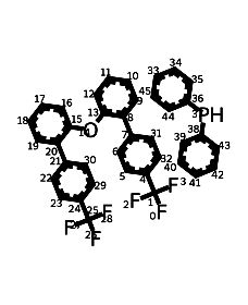 FC(F)(F)c1ccc(-c2ccccc2Oc2ccccc2-c2ccc(C(F)(F)F)cc2)cc1.c1ccc(Pc2ccccc2)cc1